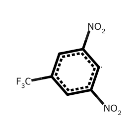 O=[N+]([O-])c1[c]c([N+](=O)[O-])cc(C(F)(F)F)c1